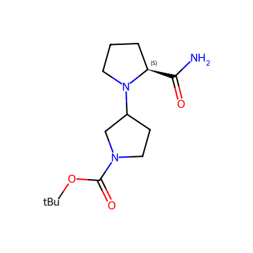 CC(C)(C)OC(=O)N1CCC(N2CCC[C@H]2C(N)=O)C1